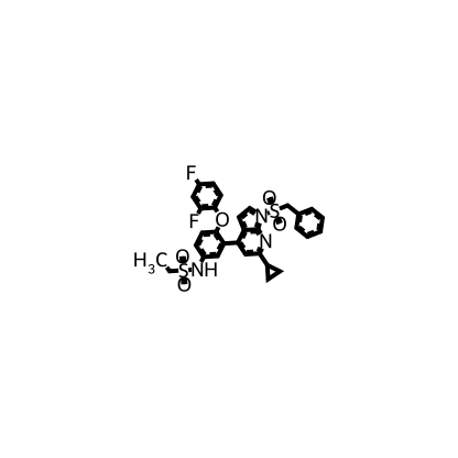 CCS(=O)(=O)Nc1ccc(Oc2ccc(F)cc2F)c(-c2cc(C3CC3)nc3c2ccn3S(=O)(=O)Cc2ccccc2)c1